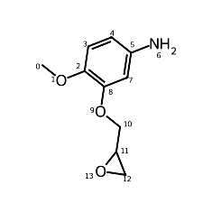 COc1ccc(N)cc1OCC1CO1